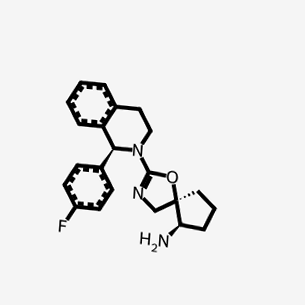 N[C@@H]1CCC[C@@]12CN=C(N1CCc3ccccc3[C@@H]1c1ccc(F)cc1)O2